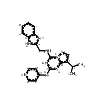 CC(C)c1cnn2c(NCc3nc4ccccc4[nH]3)nc(Nc3ccncc3)nc12